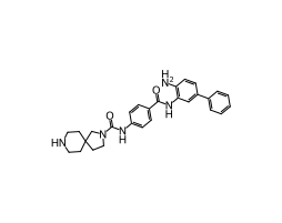 Nc1ccc(-c2ccccc2)cc1NC(=O)c1ccc(NC(=O)N2CCC3(CCNCC3)C2)cc1